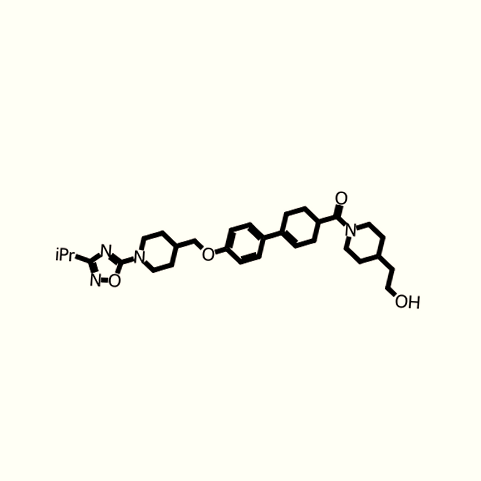 CC(C)c1noc(N2CCC(COc3ccc(C4=CCC(C(=O)N5CCC(CCO)CC5)CC4)cc3)CC2)n1